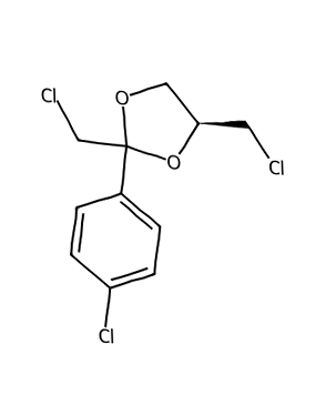 ClC[C@@H]1COC(CCl)(c2ccc(Cl)cc2)O1